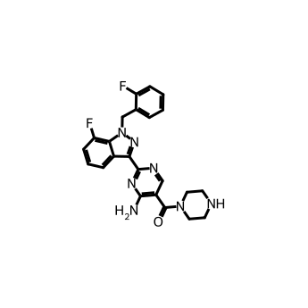 Nc1nc(-c2nn(Cc3ccccc3F)c3c(F)cccc23)ncc1C(=O)N1CCNCC1